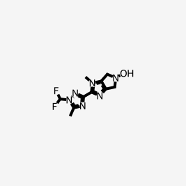 Cc1nc(-c2nc3c(n2C)CN(O)C3)nn1C(F)F